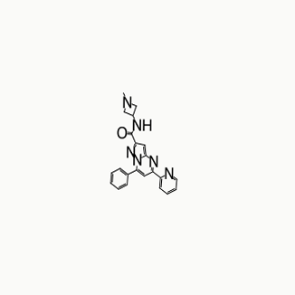 CN1CC(NC(=O)c2cc3nc(-c4ccccn4)cc(-c4ccccc4)n3n2)C1